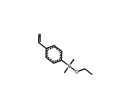 C=Cc1ccc([Si](C)(C)OCC)cc1